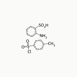 Cc1ccc(S(=O)(=O)Cl)cc1.Nc1ccccc1S(=O)(=O)O